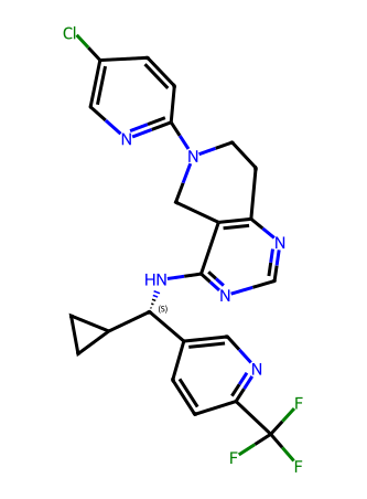 FC(F)(F)c1ccc([C@@H](Nc2ncnc3c2CN(c2ccc(Cl)cn2)CC3)C2CC2)cn1